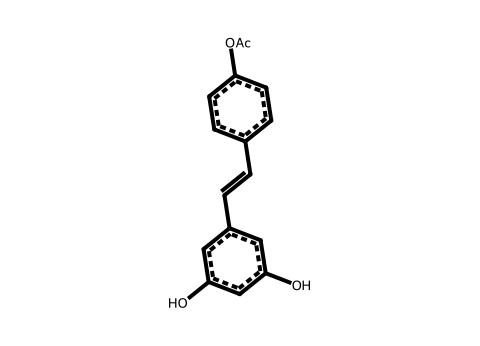 CC(=O)Oc1ccc(C=Cc2cc(O)cc(O)c2)cc1